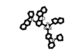 c1ccc(-n2c3ccccc3c3ccc(-c4nc(-c5ccc6ccccc6c5)nc(-c5ccc(-n6c7ccccc7c7cc8ccccc8cc76)c6c5oc5c7ccccc7ccc56)n4)cc32)cc1